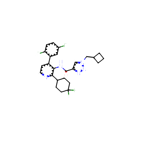 O=C(Nc1c(-c2cc(F)ccc2F)ccnc1C1CCC(F)(F)CC1)c1cn(CC2CCC2)nn1